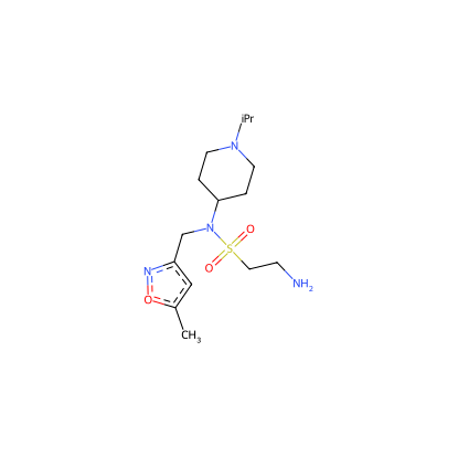 Cc1cc(CN(C2CCN(C(C)C)CC2)S(=O)(=O)CCN)no1